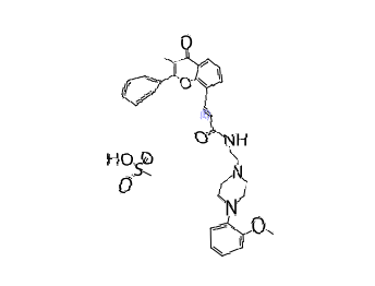 COc1ccccc1N1CCN(CCNC(=O)/C=C/c2cccc3c(=O)c(C)c(-c4ccccc4)oc23)CC1.CS(=O)(=O)O